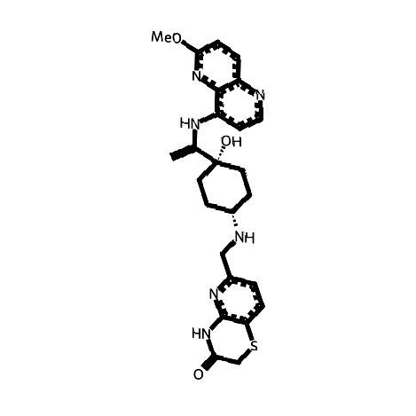 C=C(Nc1ccnc2ccc(OC)nc12)[C@]1(O)CC[C@@H](NCc2ccc3c(n2)NC(=O)CS3)CC1